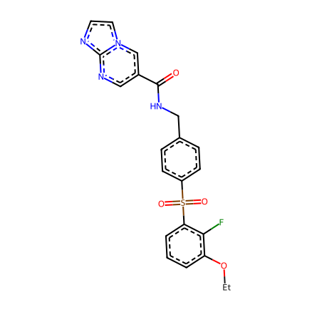 CCOc1cccc(S(=O)(=O)c2ccc(CNC(=O)c3cnc4nccn4c3)cc2)c1F